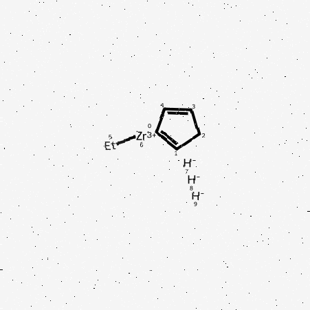 C1=CCC=C1.C[CH2][Zr+3].[H-].[H-].[H-]